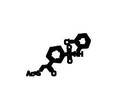 CC(=O)SCC(=O)c1cccc(S(=O)(=O)Nc2ccccc2Cl)c1